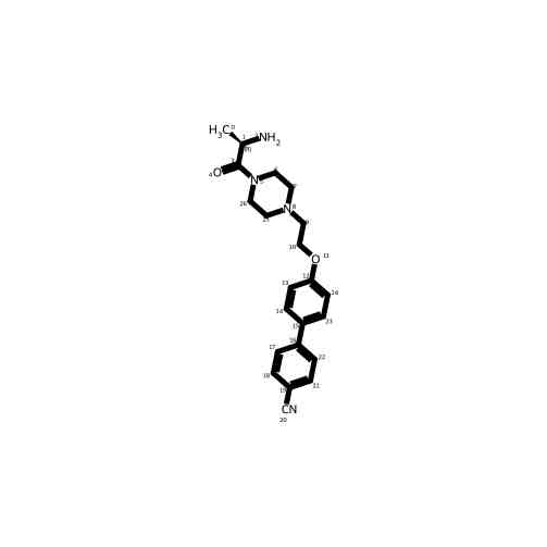 C[C@@H](N)C(=O)N1CCN(CCOc2ccc(-c3ccc(C#N)cc3)cc2)CC1